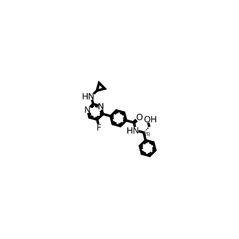 O=C(N[C@H](CO)c1ccccc1)c1ccc(-c2nc(NC3CC3)ncc2F)cc1